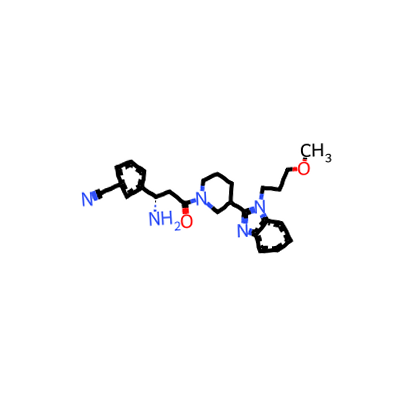 COCCCn1c(C2CCCN(C(=O)C[C@H](N)c3cccc(C#N)c3)C2)nc2ccccc21